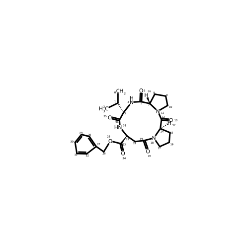 CC(C)[C@@H]1NC(=O)[C@@H]2CCCN2C(=O)[C@H]2CCCN2C(=O)C[C@@H](C(=O)OCc2ccccc2)NC1=O